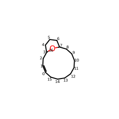 C1=CCC2CCCC(CCCCCCCC1)O2